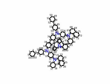 c1ccc(-c2ccc(N(c3ccc(N(c4ccccc4)c4cccc5ccccc45)cc3)c3ccc4c(c3)C3(c5cc(N(c6ccc(-c7ccccc7)cc6)c6ccc(N(c7ccccc7)c7cccc8ccccc78)cc6)ccc5-4)c4ccccc4-n4c5ccccc5c5cccc3c54)cc2)cc1